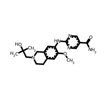 COc1cc2c(cc1Nc1ncc(C(N)=O)cn1)CN(CC(C)(C)O)CC2